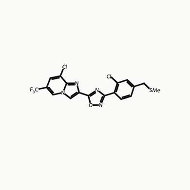 CSCc1ccc(-c2noc(-c3cn4cc(C(F)(F)F)cc(Cl)c4n3)n2)c(Cl)c1